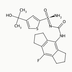 CC(C)(O)c1csc([S@](N)(=O)=NC(=O)Nc2c3c(c(F)c4c2CCC4)CCC3)c1